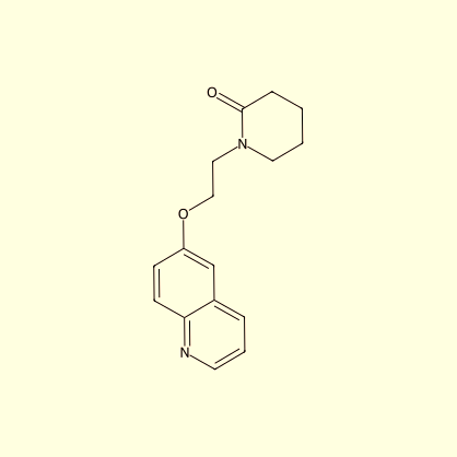 O=C1CCCCN1CCOc1ccc2ncccc2c1